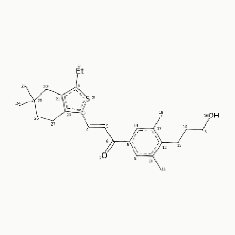 CCc1sc(C=CC(=O)c2cc(C)c(CCCO)c(C)c2)c2c1CC(C)(C)CC2